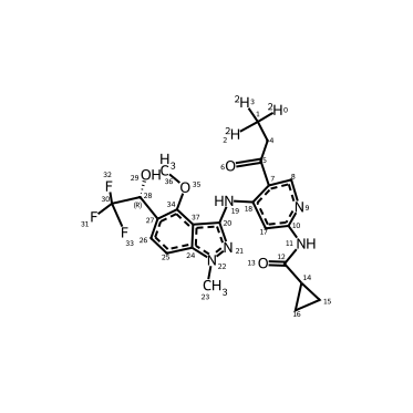 [2H]C([2H])([2H])CC(=O)c1cnc(NC(=O)C2CC2)cc1Nc1nn(C)c2ccc([C@@H](O)C(F)(F)F)c(OC)c12